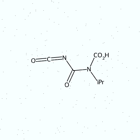 CC(C)N(C(=O)O)C(=O)N=C=O